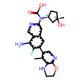 Cc1c(-c2cc3cc(N(C(=O)O)[C@H]4CC[C@](C)(O)C4)ncc3c(N)c2F)cnc2c1NCCO2